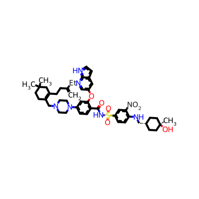 C=C(CC)CCC1=C(CN2CCN(c3ccc(C(=O)NS(=O)(=O)c4ccc(NC[C@H]5CC[C@](C)(O)CC5)c([N+](=O)[O-])c4)c(Oc4cnc5[nH]ccc5c4)c3)CC2)CCC(C)(C)C1